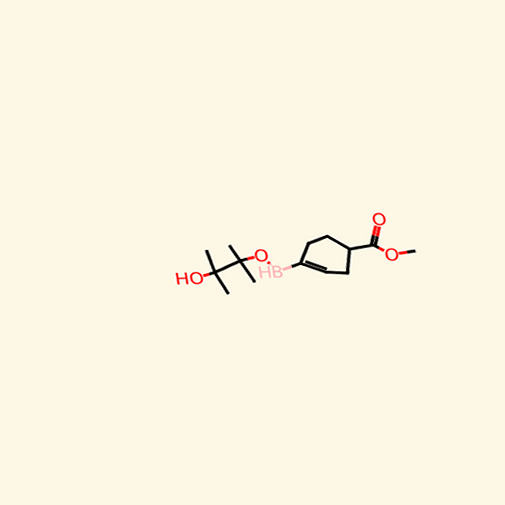 COC(=O)C1CC=C(BOC(C)(C)C(C)(C)O)CC1